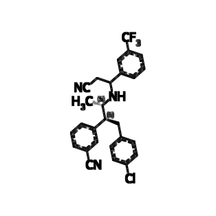 C[C@H](NC(CC#N)c1cccc(C(F)(F)F)c1)[C@@H](Cc1ccc(Cl)cc1)c1cccc(C#N)c1